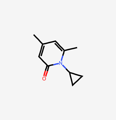 Cc1cc(C)n(C2CC2)c(=O)c1